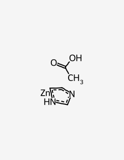 CC(=O)O.[Zn].c1c[nH]cn1